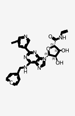 C=CNC(=O)[C@H]1O[C@@H](n2cnc3c(NCc4ccccc4)nc(-c4cncc(C)c4)nc32)[C@H](O)[C@@H]1O